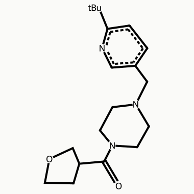 CC(C)(C)c1ccc(CN2CCN(C(=O)C3CCOC3)CC2)cn1